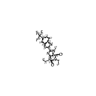 CCn1c(=O)c2c(nc(-c3nc4ccc(C(F)(F)F)cc4s3)n2C)n(CC)c1=O